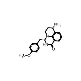 COc1ccc(C[C@@H]2NC(=O)c3cccc4c3N2CC[C@H]4N)cc1